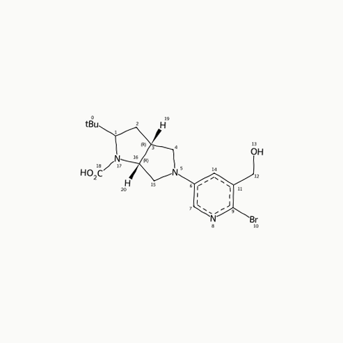 CC(C)(C)C1C[C@@H]2CN(c3cnc(Br)c(CO)c3)C[C@@H]2N1C(=O)O